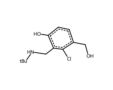 CC(C)(C)NCc1c(O)ccc(CO)c1Cl